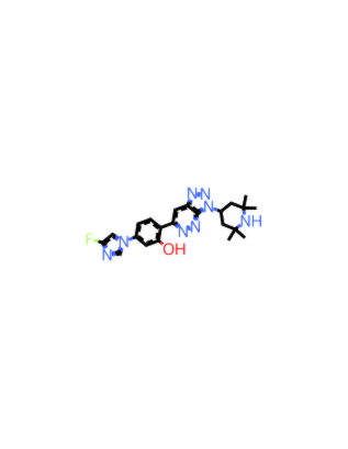 CC1(C)CC(n2nnc3cc(-c4ccc(-n5cnc(F)c5)cc4O)nnc32)CC(C)(C)N1